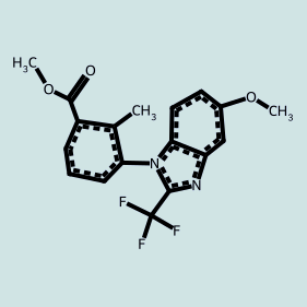 COC(=O)c1cccc(-n2c(C(F)(F)F)nc3cc(OC)ccc32)c1C